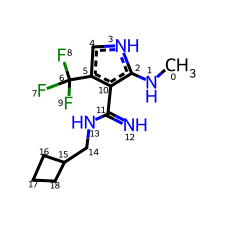 CNc1[nH]cc(C(F)(F)F)c1C(=N)NCC1CCC1